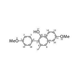 COc1ccc(-c2c(C)cc3cc(OC)ccc3c2O)cc1